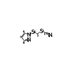 N#CSCSn1cccn1